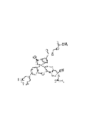 CCN(CC)c1ccc2c(c1)Oc1c(ccc3c1=CCC(O)(OC(C)=O)C=3)C21OC(=O)c2cc(C(=O)OCOC(C)=O)ccc21